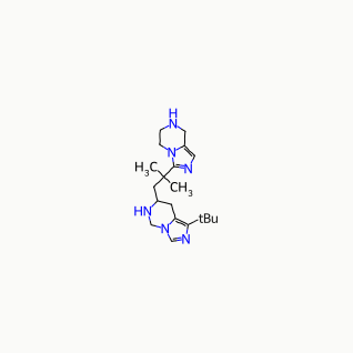 CC(C)(C)c1ncn2c1CC(CC(C)(C)c1ncc3n1CCNC3)NC2